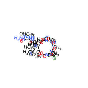 C/C=C(\C)[C@H]1OC(=O)C(C)(C)NC(=O)[C@H]([C@H](C)CC)NC(=O)CN(C)C(=O)[C@@H](Cc2ccc(Cl)cc2)N(C)C(=O)[C@H](C)NC(=O)[C@@H](CC(C)C)OC(=O)/C(C)=C/C[C@H](C(CCCCCN(C)C(=O)O)(Cc2ccc(NC(=O)[C@H](CCCNC(N)=O)NN[C@H](C=O)C(C)C)cc2)N(C)C(=O)O)[C@@H]1C